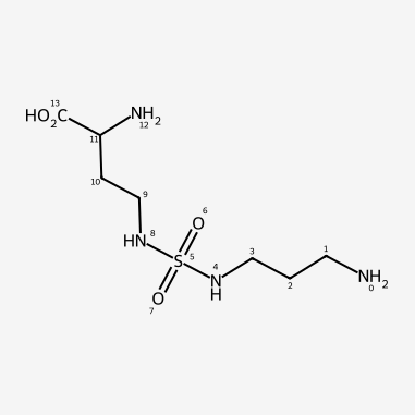 NCCCNS(=O)(=O)NCCC(N)C(=O)O